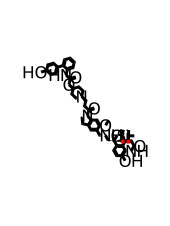 COc1cc2c(cc1CNC[C@H](O[Si](C)(C)C(C)(C)C)c1ccc(O)c3[nH]c(=O)ccc13)CCN2C(=O)CCN1CCC(OC(=O)Nc2ccccc2-c2ccc(O)cc2)CC1